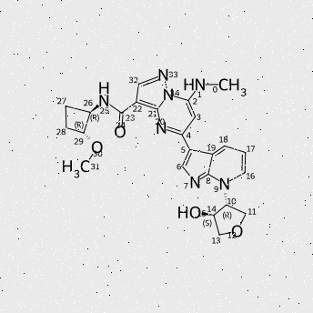 CNc1cc(-c2cnc3n([C@@H]4COC[C@H]4O)cccc2-3)nc2c(C(=O)N[C@@H]3CC[C@H]3OC)cnn12